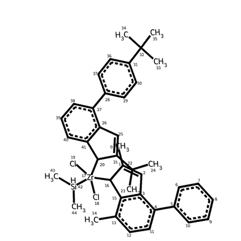 CC1=Cc2c(-c3ccccc3)ccc(C)c2[CH]1[Zr]([Cl])([Cl])([CH]1C(C(C)C)=Cc2c(-c3ccc(C(C)(C)C)cc3)cccc21)[SiH](C)C